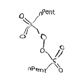 CCCCCS(=O)(=O)OOS(=O)(=O)CCCCC